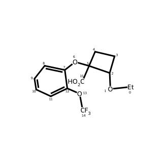 CCOC1CCC1(Oc1ccccc1OC(F)(F)F)C(=O)O